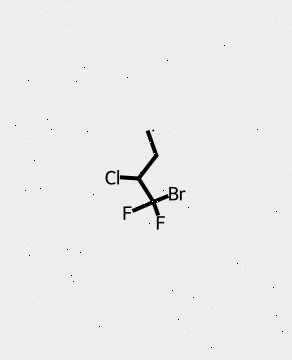 [CH2]CC(Cl)C(F)(F)Br